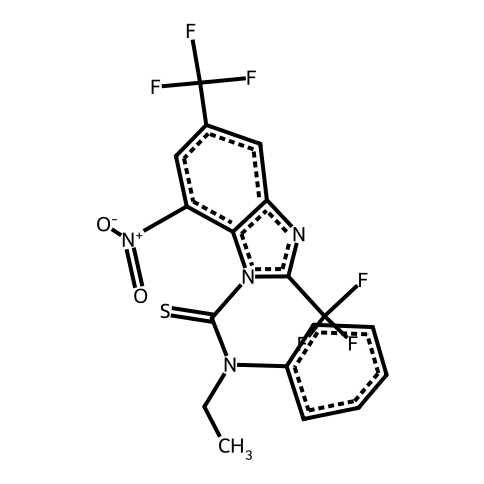 CCN(C(=S)n1c(C(F)(F)F)nc2cc(C(F)(F)F)cc([N+](=O)[O-])c21)c1ccccc1